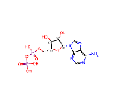 Nc1ncnc2c1ncn2[C@@H]1O[C@H](COP(=O)(O)OP(=O)(O)O)[C@@H](O)[C@@H]1O